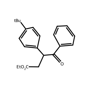 CCOC(=O)CC(C(=O)c1ccccc1)c1ccc(C(C)(C)C)cc1